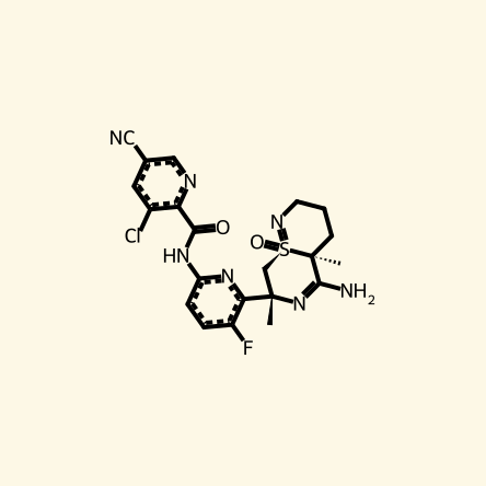 C[C@@]12CCCN=[S@]1(=O)C[C@@](C)(c1nc(NC(=O)c3ncc(C#N)cc3Cl)ccc1F)N=C2N